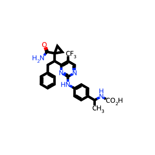 CC(NC(=O)O)c1ccc(Nc2ncc(C(F)(F)F)c(C(Cc3ccccc3)C3(C(N)=O)CC3)n2)cc1